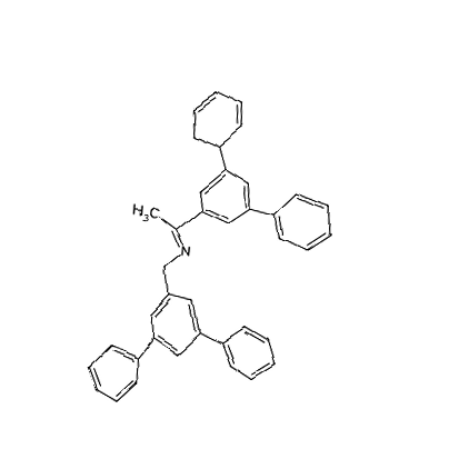 C/C(=N\Cc1cc(-c2ccccc2)cc(-c2ccccc2)c1)c1cc(-c2ccccc2)cc(C2C=CC=CC2)c1